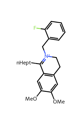 CCCCCCCC1=[N+](Cc2ccccc2F)CCc2cc(OC)c(OC)cc21